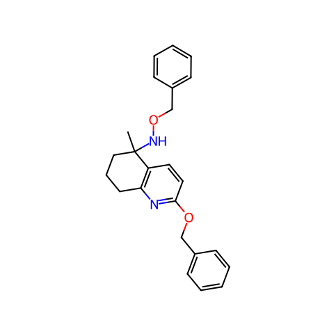 CC1(NOCc2ccccc2)CCCc2nc(OCc3ccccc3)ccc21